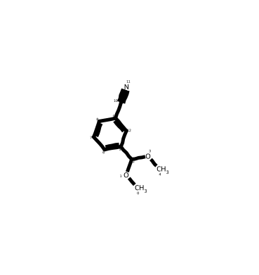 COC(OC)c1cccc(C#N)c1